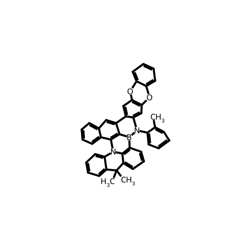 Cc1ccccc1N1B2c3cccc4c3N(c3ccccc3C4(C)C)c3c2c(cc2ccccc32)-c2cc3c(cc21)Oc1ccccc1O3